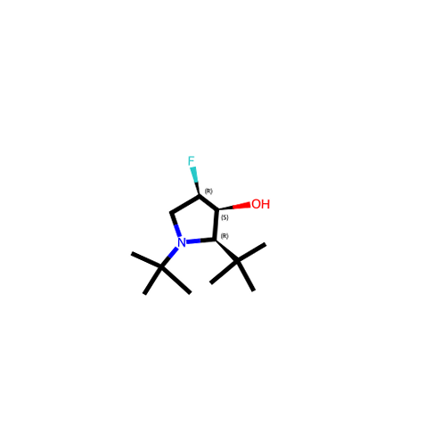 CC(C)(C)[C@@H]1[C@H](O)[C@H](F)CN1C(C)(C)C